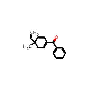 C=CC1(C)C=CC(C(=O)c2ccccc2)=CC1